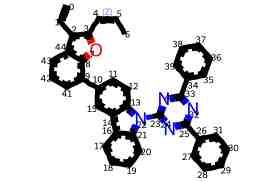 C=Cc1c(/C=C\C)oc2c(-c3ccc4c(c3)c3ccccc3n4-c3nc(-c4ccccc4)nc(-c4ccccc4)n3)cccc12